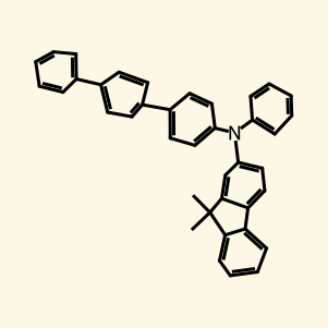 CC1(C)c2ccccc2-c2ccc(N(c3ccccc3)c3ccc(-c4ccc(-c5ccccc5)cc4)cc3)cc21